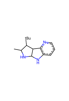 CC1NC2Nc3cccnc3C2C1C(C)(C)C